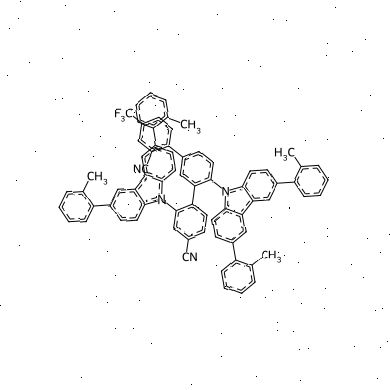 Cc1ccccc1-c1ccc2c(c1)c1cc(-c3ccccc3C)ccc1n2-c1ccc(-c2ccc(C(F)(F)F)cc2C#N)cc1-c1ccc(C#N)cc1-n1c2ccc(-c3ccccc3C)cc2c2cc(-c3ccccc3C)ccc21